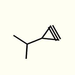 CC(C)C1C#C1